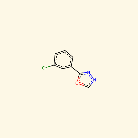 Clc1cccc(-c2nnco2)c1